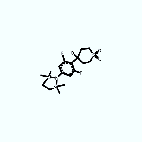 C[Si]1(C)CC[Si](C)(C)N1c1cc(F)c(C2(O)CCS(=O)(=O)CC2)c(F)c1